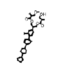 C=C(CO)C(=O)OCC(COC(=O)C(=C)COC)c1ccc(-c2ccc(C3CCC(C4CCCC4)CC3)cc2)c(I)c1